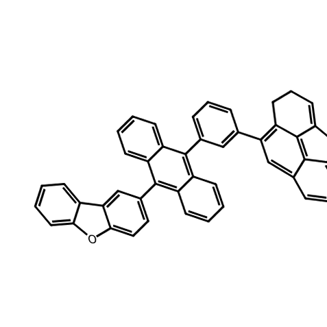 C1=c2oc3cccc4cc(-c5cccc(-c6c7ccccc7c(-c7ccc8oc9ccccc9c8c7)c7ccccc67)c5)c(c2c43)CC1